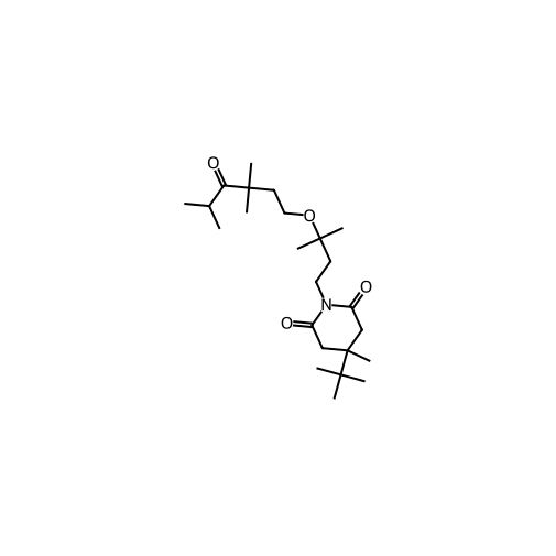 CC(C)C(=O)C(C)(C)CCOC(C)(C)CCN1C(=O)CC(C)(C(C)(C)C)CC1=O